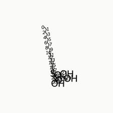 CCCCCCCCCCCCCCCCCCSC(CC(=O)O)OCC(O)CO